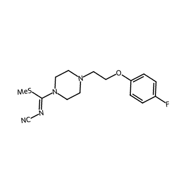 CSC(=NC#N)N1CCN(CCOc2ccc(F)cc2)CC1